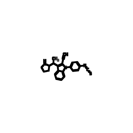 C#Cc1c(C(C)C2CCCN2)c2ccccc2n1-c1ccc(N=C=S)cc1